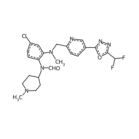 CN1CCC(N(C=O)c2ccc(Cl)cc2N(C)Cc2ccc(-c3nnc(C(F)F)o3)cn2)CC1